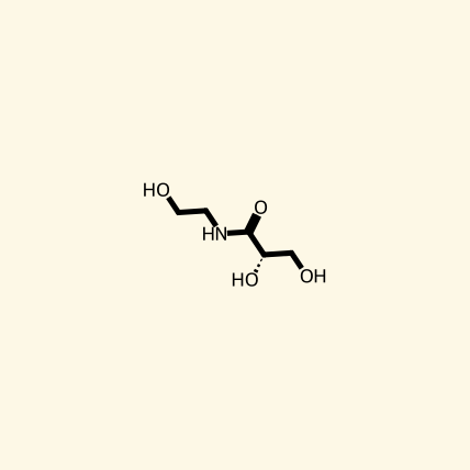 O=C(NCCO)[C@@H](O)CO